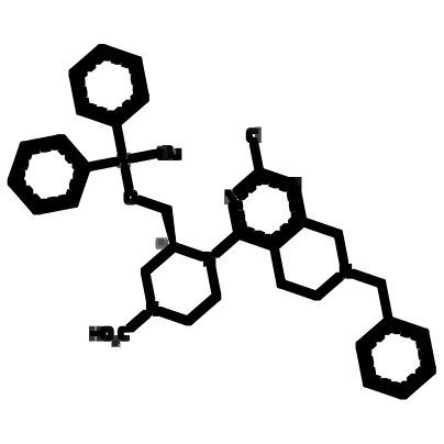 CC(C)(C)[Si](OC[C@@H]1CN(C(=O)O)CCN1c1nc(Cl)nc2c1CCN(Cc1ccccc1)C2)(c1ccccc1)c1ccccc1